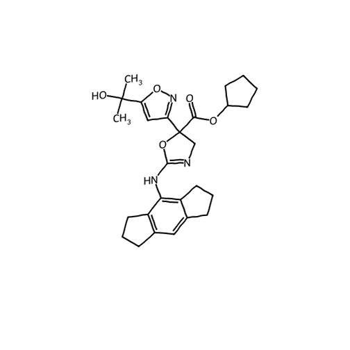 CC(C)(O)c1cc(C2(C(=O)OC3CCCC3)CN=C(Nc3c4c(cc5c3CCC5)CCC4)O2)no1